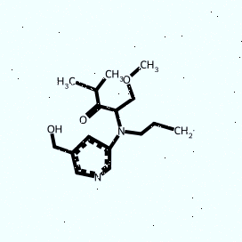 [CH2]CCN(c1cncc(CO)c1)C(COC)C(=O)C(C)C